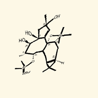 C[C@@H]1[C@@H](O)[C@]2(O)C[C@](C)(O)C=C2[C@]2(O[Si](C)(C)C)C(C3[C@@H](C[C@H]2C)C3(C)C)[C@@H]1O[Si](C)(C)C(C)(C)C